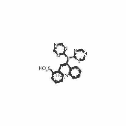 O=S(=O)(O)c1ccccc1C=C(c1ccccc1S(=O)(=O)O)N(c1ncncn1)c1ncncn1